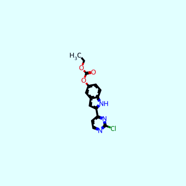 CCOC(=O)Oc1ccc2[nH]c(-c3ccnc(Cl)n3)cc2c1